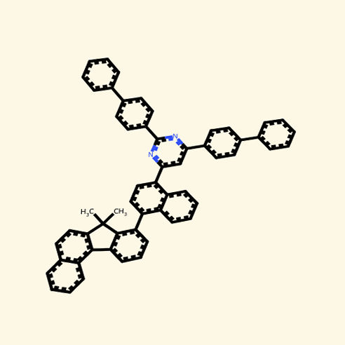 CC1(C)c2ccc3ccccc3c2-c2cccc(-c3ccc(-c4cc(-c5ccc(-c6ccccc6)cc5)nc(-c5ccc(-c6ccccc6)cc5)n4)c4ccccc34)c21